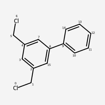 ClCc1cc(CCl)cc(-c2ccccc2)c1